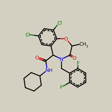 CC1Oc2c(Cl)cc(Cl)cc2C(C(=O)NC2CCCCC2)N(Cc2c(F)cccc2F)C1=O